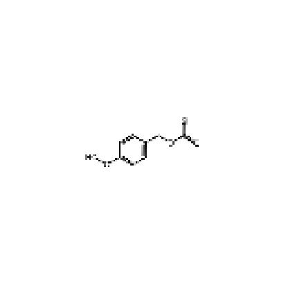 N#COc1ccc(COC(=O)S)cc1